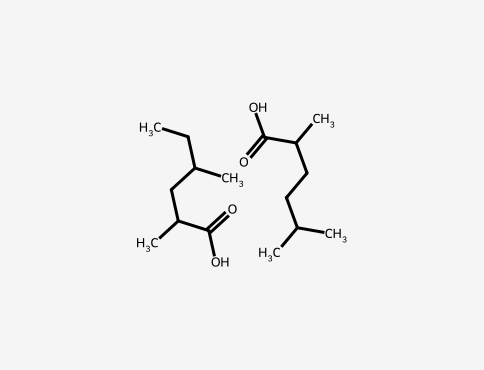 CC(C)CCC(C)C(=O)O.CCC(C)CC(C)C(=O)O